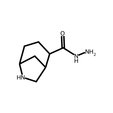 NNC(=O)C1CCC2CC1CN2